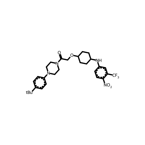 CC(C)(C)c1ccc(N2CCN(C(=O)COC3CCC(Nc4ccc([N+](=O)[O-])c(C(F)(F)F)c4)CC3)CC2)cc1